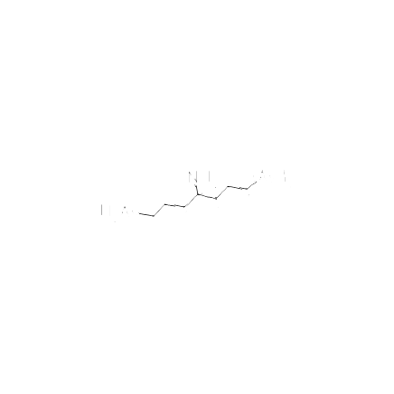 NC(CCC[AsH2])CCC[AsH2]